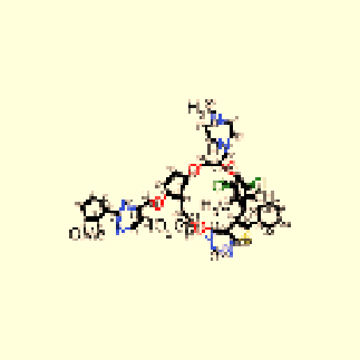 COc1ccccc1-c1nccc(COc2ccc3cc2C[C@H](C(=O)O)Oc2ncnc4sc(C5CCCCC5)c(c24)-c2c(C)c(Cl)c(c(Cl)c2C)O[C@H](CN2CCN(C)CC2)CO3)n1